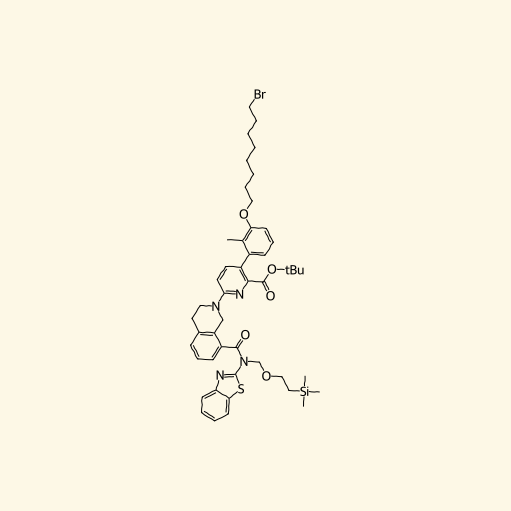 Cc1c(OCCCCCCCCBr)cccc1-c1ccc(N2CCc3cccc(C(=O)N(COCC[Si](C)(C)C)c4nc5ccccc5s4)c3C2)nc1C(=O)OC(C)(C)C